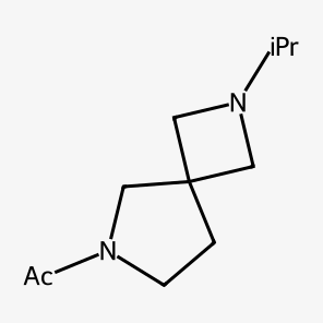 CC(=O)N1CCC2(C1)CN(C(C)C)C2